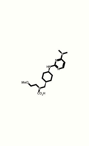 COCCN(C[C@H]1CC[C@@H](Nc2nccc(N(C)C)n2)CC1)C(=O)O